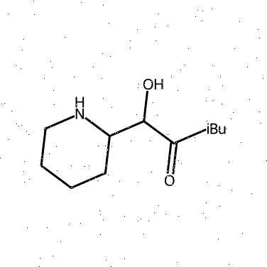 CCC(C)C(=O)C(O)C1CCCCN1